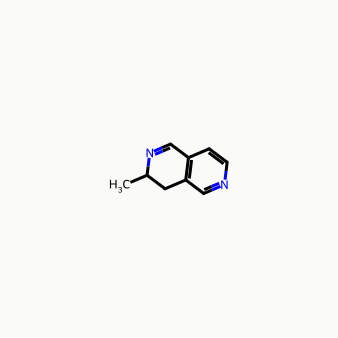 CC1Cc2cnccc2C=N1